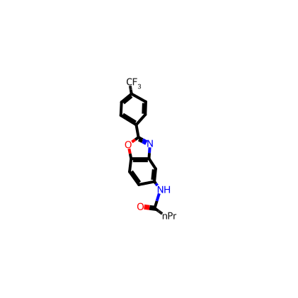 CCCC(=O)Nc1ccc2oc(-c3ccc(C(F)(F)F)cc3)nc2c1